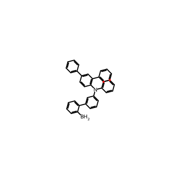 Bc1ccccc1-c1cccc(N(c2ccccc2)c2ccc(-c3ccccc3)cc2-c2ccccc2)c1